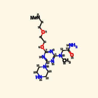 CNCCOCCOc1nc(N(C)CC(N)=O)nc(N2CCNCC2)n1